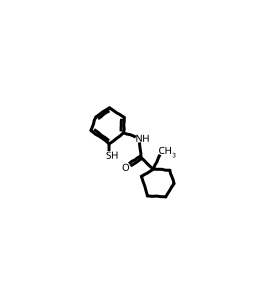 CC1(C(=O)Nc2ccccc2S)CCCCC1